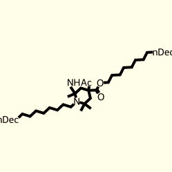 CCCCCCCCCCCCCCCCCCOC(=O)C1(NC(C)=O)CC(C)(C)N(CCCCCCCCCCCCCCCCCC)C(C)(C)C1